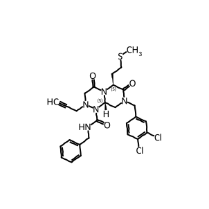 C#CCN1CC(=O)N2[C@@H](CCSC)C(=O)N(Cc3ccc(Cl)c(Cl)c3)C[C@@H]2N1C(=O)NCc1ccccc1